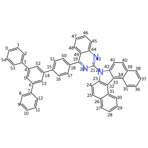 c1ccc(-c2cc(-c3ccccc3)cc(-c3ccc(-c4nc(-n5c6ccc7ccccc7c6c6c7ccccc7ccc65)nc5ccccc45)cc3)c2)cc1